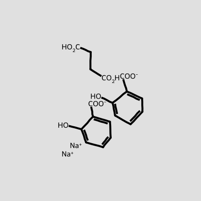 O=C(O)CCC(=O)O.O=C([O-])c1ccccc1O.O=C([O-])c1ccccc1O.[Na+].[Na+]